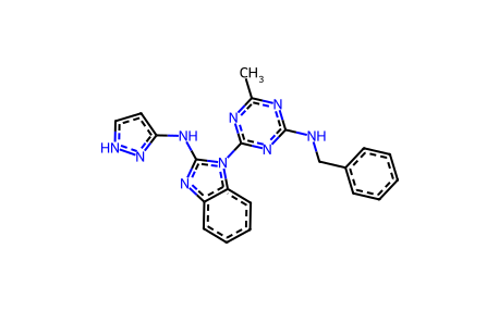 Cc1nc(NCc2ccccc2)nc(-n2c(Nc3cc[nH]n3)nc3ccccc32)n1